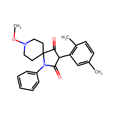 CON1CCC2(CC1)C(=O)C(c1cc(C)ccc1C)C(=O)N2c1ccccc1